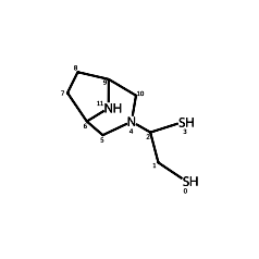 SCC(S)N1CC2CCC(C1)N2